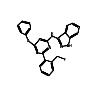 FCc1ccccc1-c1nc(Nc2n[nH]c3ccccc23)cc(Oc2ccccc2)n1